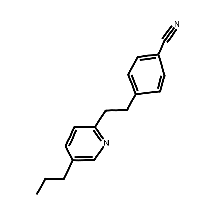 CCCc1ccc(CCc2ccc(C#N)cc2)nc1